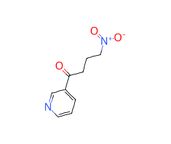 O=C(CCC[N+](=O)[O-])c1cccnc1